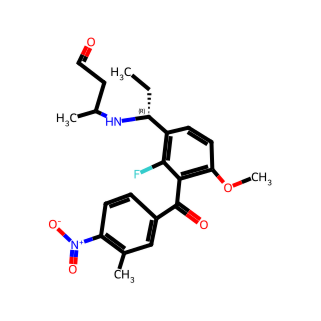 CC[C@@H](NC(C)CC=O)c1ccc(OC)c(C(=O)c2ccc([N+](=O)[O-])c(C)c2)c1F